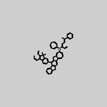 C=CC1=C(/C=C\C)c2ccc(-c3c4c(cc5c3-c3ccccc3C5)C3=CC=C=C(N(C5=CC=CCC=C5)/C(C=C)=C/C=C(\C)c5ccccc5)C=C3C4)cc2C1(C)C